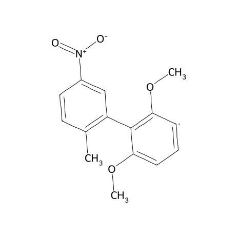 COc1[c]ccc(OC)c1-c1cc([N+](=O)[O-])ccc1C